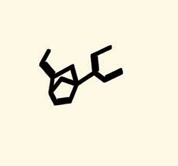 C=CC(=CC)C12C=CC(C1)C(=CC)C2